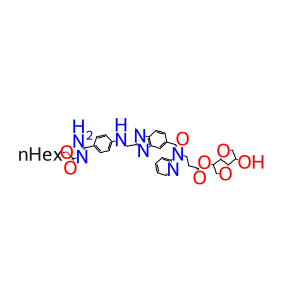 CCCCCCOC(=O)N=C(N)c1ccc(NCc2nc3cc(C(=O)N(CCC(=O)OC4COC5C(O)COC45)c4ccccn4)ccc3n2C)cc1